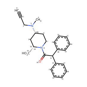 C#CCN(C)[C@@H]1CCN(C(=O)C(c2ccccc2)c2ccccc2)[C@H](C(=O)O)C1